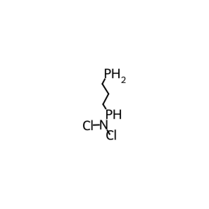 PCCCPN(Cl)Cl